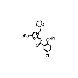 CC(C)Oc1ccc(Cl)cc1C(=O)/N=c1\sc(C(C)(C)C)cn1C[C@H]1CCCO1